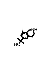 CC(C)(O)c1cc(I)c2c(c1)CCNC2